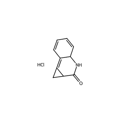 Cl.O=C1NC2C=CC=CC2=C2CC12